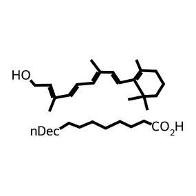 CC(C=CC1=C(C)CCCC1(C)C)=CC=CC(C)=CCO.CCCCCCCCCCCCCCCCCC(=O)O